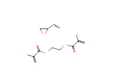 C=C(C)C(=O)OCCOC(=O)C(=C)C.O=CC1CO1